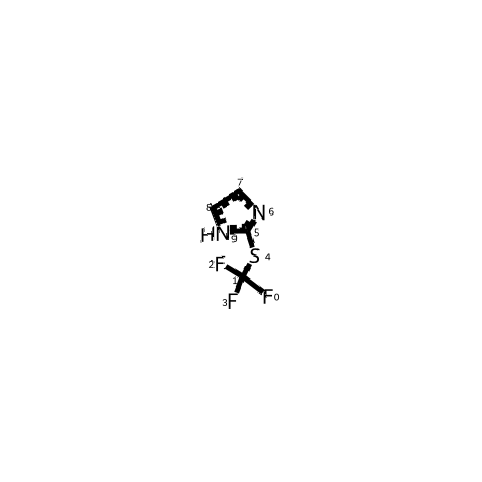 FC(F)(F)Sc1ncc[nH]1